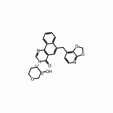 O=c1c2cc(Cc3ccnc4c3OCO4)c3ccccc3c2ncn1[C@H]1CCOC[C@@H]1O